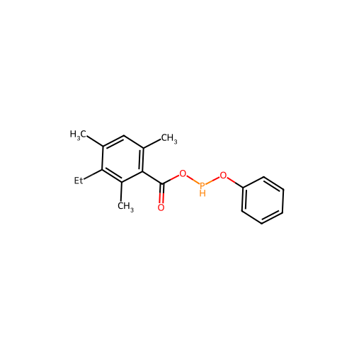 CCc1c(C)cc(C)c(C(=O)OPOc2ccccc2)c1C